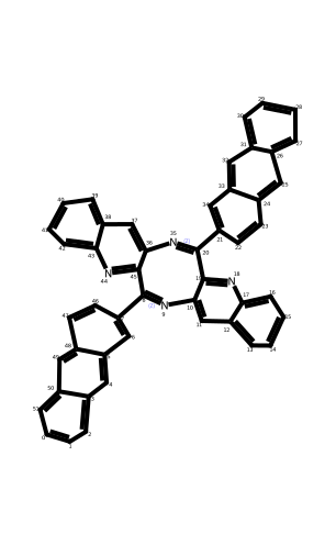 c1ccc2cc3cc(/C4=N/c5cc6ccccc6nc5/C(c5ccc6cc7ccccc7cc6c5)=N\c5cc6ccccc6nc54)ccc3cc2c1